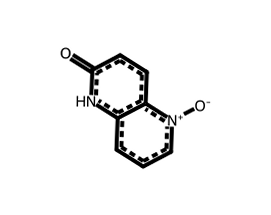 O=c1ccc2c(ccc[n+]2[O-])[nH]1